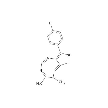 C/C1=N/C=N\C2=C(c3ccc(F)cc3)NC/C2=C\C1C